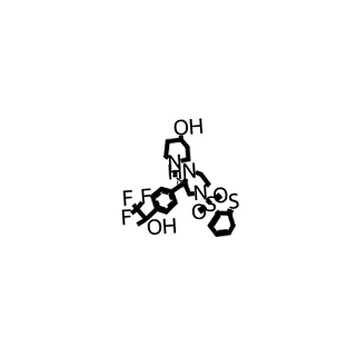 CC(O)(c1ccc([C@]2(CN3CCC(O)CC3)CN(S(=O)(=O)C3=CC=CCC3=S)CCN2)cc1)C(F)(F)F